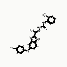 C/C(=N\NC(=S)Nc1ccccc1C)c1nc2cc(Oc3ccc(F)cc3)ccc2[nH]1